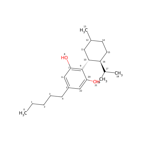 CCCCCc1cc(O)c([C@@H]2CC(C)CC[C@H]2C(C)C)c(O)c1